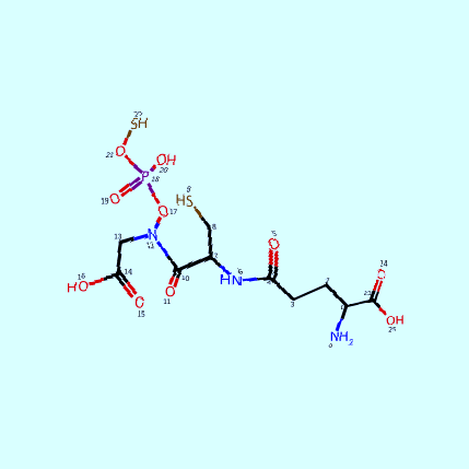 NC(CCC(=O)NC(CS)C(=O)N(CC(=O)O)OP(=O)(O)OS)C(=O)O